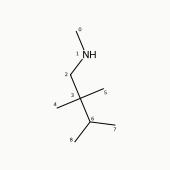 CNCC(C)(C)C(C)C